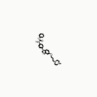 CN1CCN(CCCOc2ccc3c(c2)ncn3-c2ccc(NC(=O)Oc3ccccc3)cc2)CC1